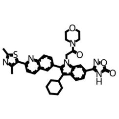 Cc1nc(C)c(-c2ccc3cc(-c4c(C5CCCCC5)c5ccc(-c6noc(=O)[nH]6)cc5n4CC(=O)N4CCOCC4)ccc3n2)s1